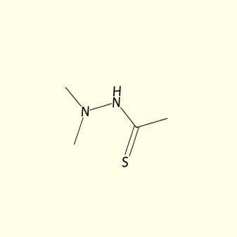 CC(=S)NN(C)C